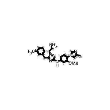 COc1cc(Nc2nc(Cc3cccc(C(F)(F)F)c3)n(CCN)n2)ccc1-n1cnc(C)c1